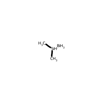 C[SiH]C.[BiH3]